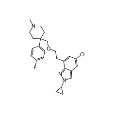 CN1CCC(COCCc2cc(Cl)cc3cn(C4CC4)nc23)(c2ccc(F)cc2)CC1